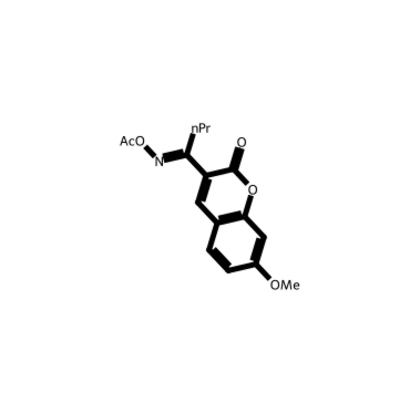 CCCC(=NOC(C)=O)c1cc2ccc(OC)cc2oc1=O